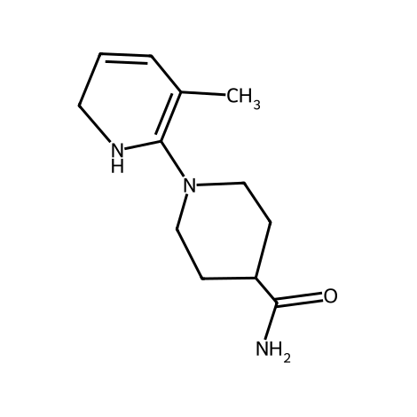 CC1=C(N2CCC(C(N)=O)CC2)NCC=C1